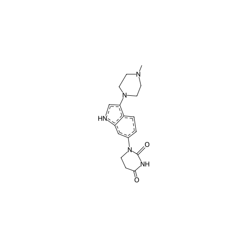 CN1CCN(c2c[nH]c3cc(N4CCC(=O)NC4=O)ccc23)CC1